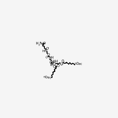 CCCCCCCCCCCCCCCCCC(=O)OC[C@H](COP(=O)(O)OCCNC(=O)OCCNC(=O)CCCC(N)=O)OC(=O)CCCCCCCCCCCCCCCCC